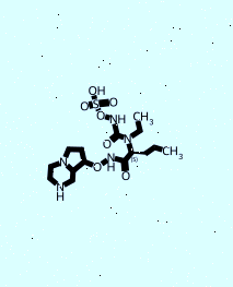 CCC[C@@H](C(=O)NOC1CCN2CCNCC12)N(CC)C(=O)NOS(=O)(=O)O